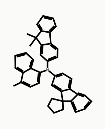 Cc1ccc(N(c2ccc3c(c2)C(C)(C)c2ccccc2-3)c2ccc3c(c2)C2(CCCC2)c2ccccc2-3)c2ccccc12